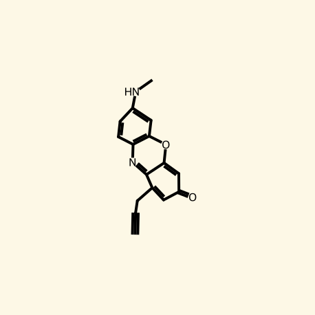 C#CCc1cc(=O)cc2oc3cc(NC)ccc3nc1-2